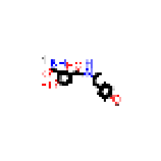 [2H]NC(=O)c1cc(C(O)CNC(C)Cc2ccc(OC)cc2)ccc1O